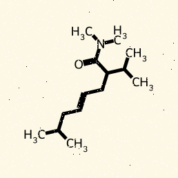 CC(C)CC=CCC(C(=O)N(C)C)C(C)C